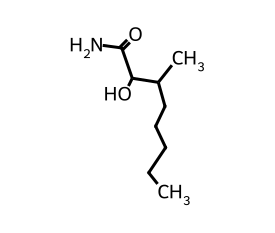 CCCCCC(C)C(O)C(N)=O